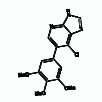 COc1cc(-c2cnc3[nH]ccc3c2Cl)cc(OC)c1OC